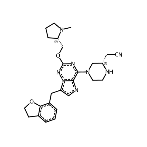 CN1CCC[C@H]1COc1nc(N2CCN[C@@H](CC#N)C2)c2ncc(Cc3cccc4c3OCC4)n2n1